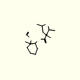 CC(C)CC(C)(C(=O)OC1CCCCC1(C)OC=O)C(C)C